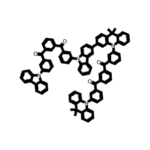 CC1(C)c2ccccc2N(c2cccc(C(=O)c3cccc(C(=O)c4cccc(N5c6ccccc6C(C)(C)c6ccc(-c7ccc8c(c7)c7ccccc7n8-c7cccc(C(=O)c8cccc(C(=O)c9cccc(-n%10c%11ccccc%11c%11ccccc%11%10)c9)c8)c7)cc65)c4)c3)c2)c2ccccc21